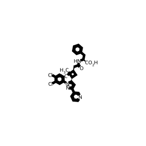 CC1(C)[C@@H](CC(=O)N[C@@H](Cc2ccccc2)C(=O)O)C[C@@H]1c1cc(-c2cccnc2)nn1-c1ccc(Cl)c(Cl)c1